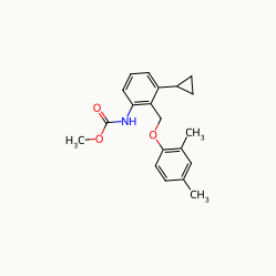 COC(=O)Nc1cccc(C2CC2)c1COc1ccc(C)cc1C